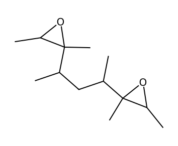 CC(CC(C)C1(C)OC1C)C1(C)OC1C